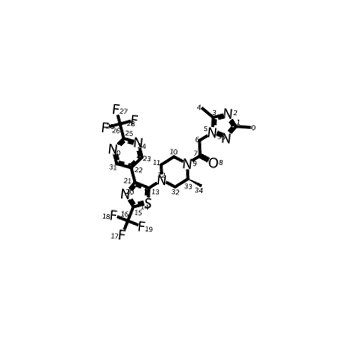 Cc1nc(C)n(CC(=O)N2CCN(c3sc(C(F)(F)F)nc3-c3cnc(C(F)(F)F)nc3)C[C@@H]2C)n1